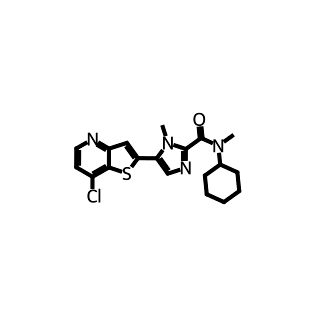 CN(C(=O)c1ncc(-c2cc3nccc(Cl)c3s2)n1C)C1CCCCC1